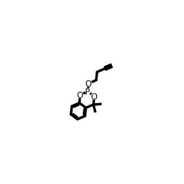 C#CCCOP1Oc2ccccc2C(C)(C)O1